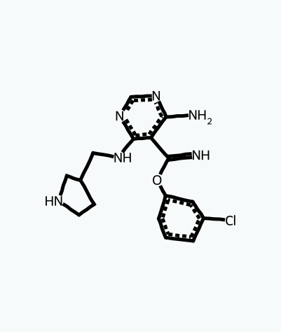 N=C(Oc1cccc(Cl)c1)c1c(N)ncnc1NCC1CCNC1